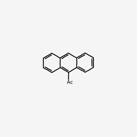 CC(=O)c1c2ccccc2cc2ccccc12